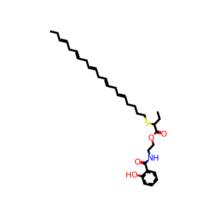 CCC=CCC=CCC=CCC=CCC=CCCCCSC(CC)C(=O)OCCNC(=O)c1ccccc1O